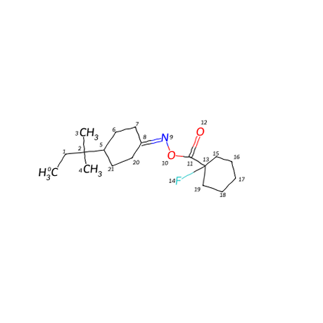 CCC(C)(C)C1CCC(=NOC(=O)C2(F)CCCCC2)CC1